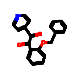 O=C(C(=O)c1ccccc1OCc1ccccc1)c1ccncc1